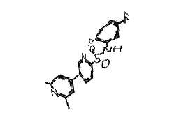 Cc1cc(-c2ccc(S(=O)(=O)Nc3cc(F)ccc3F)nc2)cc(C)n1